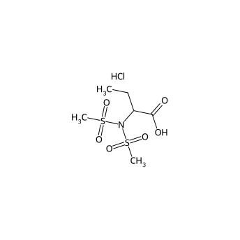 CCC(C(=O)O)N(S(C)(=O)=O)S(C)(=O)=O.Cl